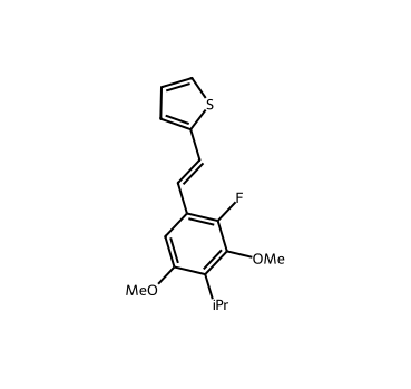 COc1cc(C=Cc2cccs2)c(F)c(OC)c1C(C)C